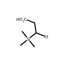 CCC(CC(=O)O)[Si](C)(C)C